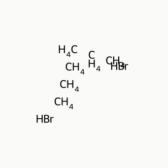 Br.Br.C.C.C.C.C.C